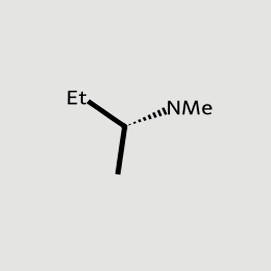 [CH2]N[C@H](C)CC